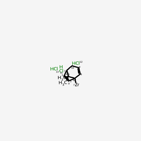 CC1(C)C2C=C[C]1([Zr])C=CC2.Cl.Cl.Cl